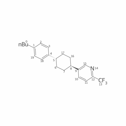 CCCCc1ccc([C@H]2CC[C@H](c3ccc(C(F)(F)F)nc3)CC2)cc1